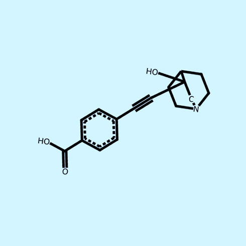 O=C(O)c1ccc(C#CC2(O)CN3CCC2CC3)cc1